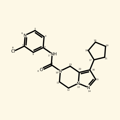 O=C(Nc1ccnc(Cl)c1)N1CCn2ncc(C3CCCC3)c2C1